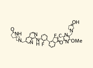 COc1nc(O[C@@H]2CCc3c(-c4cccc(Nc5nccc6cc(CN7CC8(CCC(=O)N8)C7)cnc56)c4F)cccc32)c(C(F)(F)F)nc1CN1CC[C@@H](O)C1